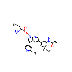 C=CC(=O)Nc1cc(OC)cc(-c2cnc3c(c2)c(-c2ccnc(C#N)c2)cn3COC(=O)C(N)CC(C)C)c1